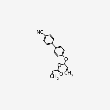 C=CC(=O)OC(C=C)Oc1ccc(-c2ccc(C#N)cc2)cc1